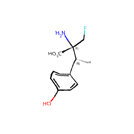 C[C@H](c1ccc(O)cc1)[C@](N)(CF)C(=O)O